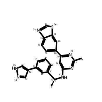 Cc1nc(N[C@@H](C)c2cccc(-c3cn[nH]c3)c2)cc(-c2ccc3ncsc3c2)n1